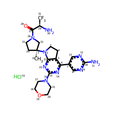 C[C@]1(N2CCc3c(-c4cnc(N)nc4)nc(N4CCOCC4)nc32)CCN(C(=O)[C@H](N)C(F)(F)F)C1.Cl